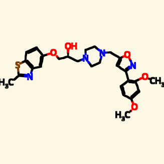 COc1ccc(-c2cc(CN3CCN(C[C@H](O)COc4ccc5sc(C)nc5c4)CC3)on2)c(OC)c1